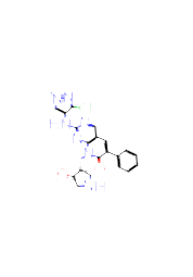 CO[C@@H]1CNC[C@H]1Cn1c(=O)c(-c2ccccc2)cc2cnc(Nc3cn(C)nc3Cl)nc21